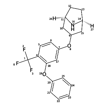 FC(F)(F)c1ccc(OC2C[C@H]3CC[C@@H](C2)N3)cc1Oc1ccccc1